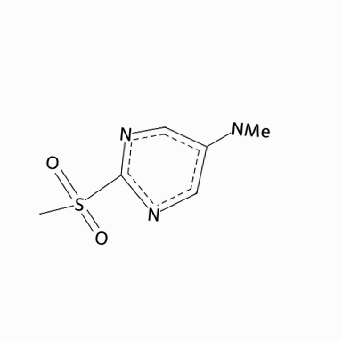 CNc1cnc(S(C)(=O)=O)nc1